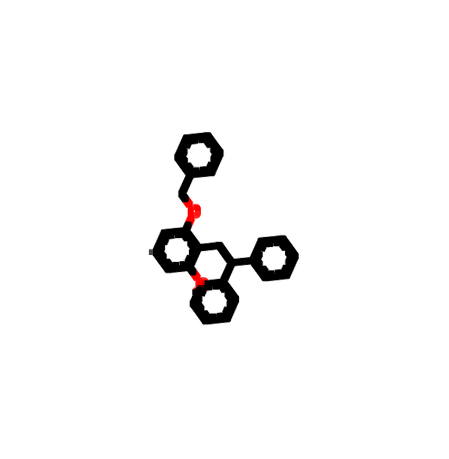 COc1c[c]cc(OCc2ccccc2)c1CC(c1ccccc1)c1ccccc1